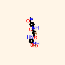 CN(C)C(=O)c1ccc(NC(=O)c2csc(C(=O)Nc3cccc(NS(C)(=O)=O)c3)c2)cc1